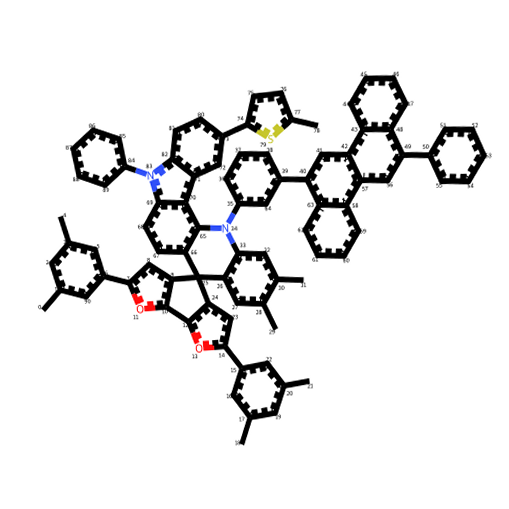 Cc1cc(C)cc(-c2cc3c(o2)-c2oc(-c4cc(C)cc(C)c4)cc2C32c3cc(C)c(C)cc3N(c3cccc(-c4cc5c6ccccc6c(-c6ccccc6)cc5c5ccccc45)c3)c3c2ccc2c3c3cc(-c4ccc(C)s4)ccc3n2-c2ccccc2)c1